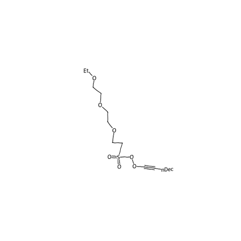 CCCCCCCCCCC#COOS(=O)(=O)CCOCCOCCOCC